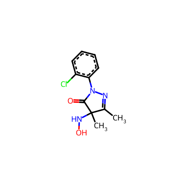 CC1=NN(c2ccccc2Cl)C(=O)C1(C)NO